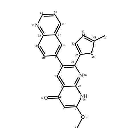 COc1cc(=O)c2cc(-c3ccc4ncccc4c3)c(-c3cnc(C)s3)nc2[nH]1